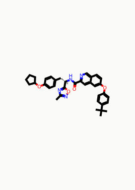 Cc1noc([C@H](Cc2ccc(OC3CCCC3)cc2)NC(=O)c2cc3cc(Oc4ccc(C(C)(C)C)cc4)ccc3cn2)n1